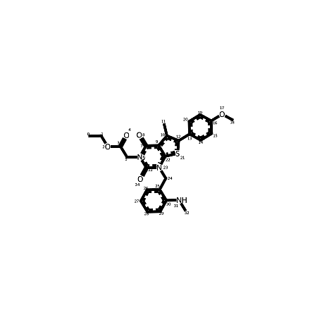 CCOC(=O)Cn1c(=O)c2c(C)c(-c3ccc(OC)cc3)sc2n(Cc2ccccc2NC)c1=O